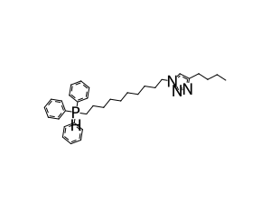 CCCCc1cn(CCCCCCCCCC[PH](c2ccccc2)(c2ccccc2)c2ccccc2)nn1